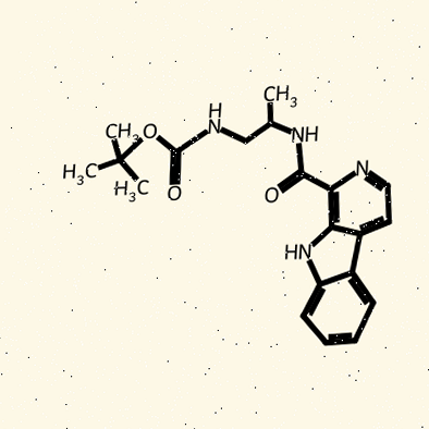 CC(CNC(=O)OC(C)(C)C)NC(=O)c1nccc2c1[nH]c1ccccc12